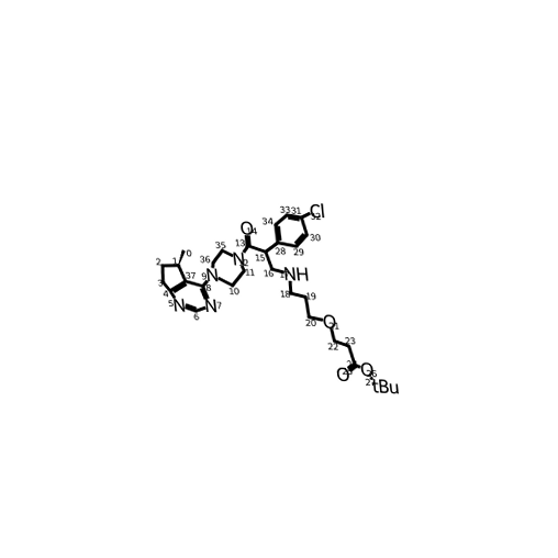 C[C@@H]1CCc2ncnc(N3CCN(C(=O)C(CNCCCOCCC(=O)OC(C)(C)C)c4ccc(Cl)cc4)CC3)c21